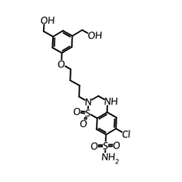 NS(=O)(=O)c1cc2c(cc1Cl)NCN(CCCCOc1cc(CO)cc(CO)c1)S2(=O)=O